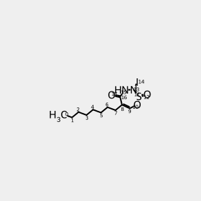 CCCCCCCCC1=COS(=O)N(I)NC1=O